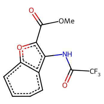 COC(=O)c1oc2ccccc2c1NC(=O)C(F)(F)F